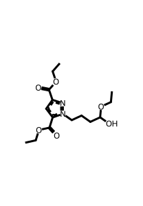 CCOC(=O)c1cc(C(=O)OCC)n(CCCC(O)OCC)n1